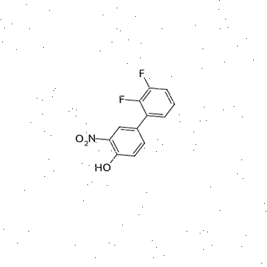 O=[N+]([O-])c1cc(-c2cccc(F)c2F)ccc1O